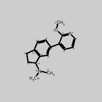 COc1ncccc1-c1ccc2c(c1)C(N(C)C)CC2